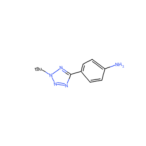 CC(C)(C)n1nnc(-c2ccc(N)cc2)n1